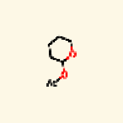 CC(=O)OC1CCCCO1